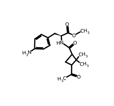 COC(=O)[C@H](Cc1ccc(N)cc1)NC(=O)C1CC(C(C)=O)C1(C)C